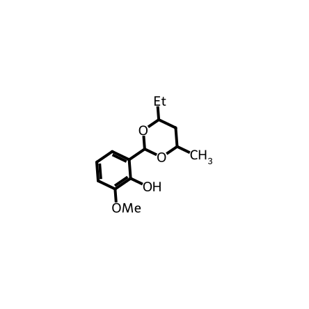 CCC1CC(C)OC(c2cccc(OC)c2O)O1